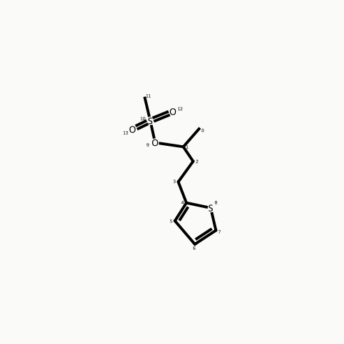 CC(CCc1cccs1)OS(C)(=O)=O